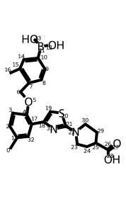 Cc1ccc(OCc2ccc(B(O)O)cc2C)c(-c2csc(N3CCC(C(=O)O)CC3)n2)c1